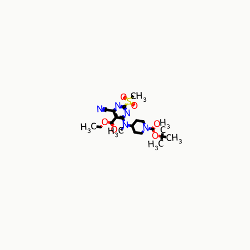 CCOC(=O)c1c(C#N)nc(S(C)(=O)=O)nc1N(C)C1CCN(C(=O)OC(C)(C)C)CC1